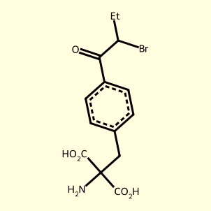 CCC(Br)C(=O)c1ccc(CC(N)(C(=O)O)C(=O)O)cc1